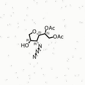 CC(=O)OC[C@H](OC(C)=O)[C@H]1OC[C@H](O)[C@H]1N=[N+]=[N-]